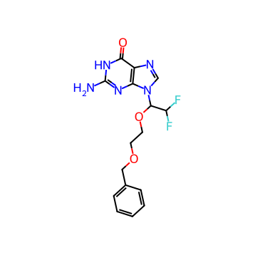 Nc1nc2c(ncn2C(OCCOCc2ccccc2)C(F)F)c(=O)[nH]1